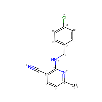 Cc1ccc(C#N)c(NCc2ccc(Cl)cc2)n1